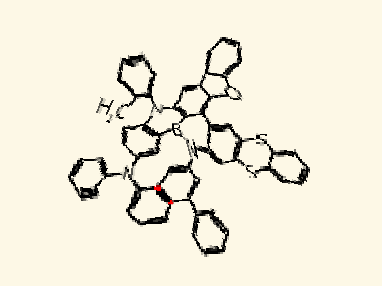 Cc1ccccc1N1c2ccc(N(c3ccccc3)c3ccccc3)cc2B2c3c1cc1c(oc4ccccc41)c3-c1cc3c(cc1N2c1cccc(-c2ccccc2)c1)Sc1ccccc1S3